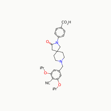 CC(C)Oc1cc(CN2CCC3(CC2)CC(=O)N(c2ccc(C(=O)O)cc2)C3)cc(OC(C)C)c1C#N